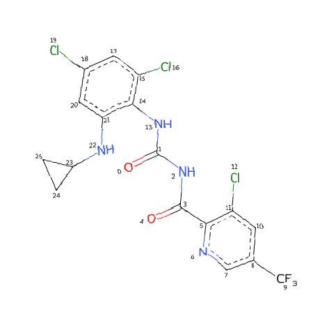 O=C(NC(=O)c1ncc(C(F)(F)F)cc1Cl)Nc1c(Cl)cc(Cl)cc1NC1CC1